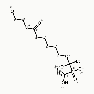 CCC(C)(OCCCCCC(=O)NCCO)P(C)(=O)C(C)O